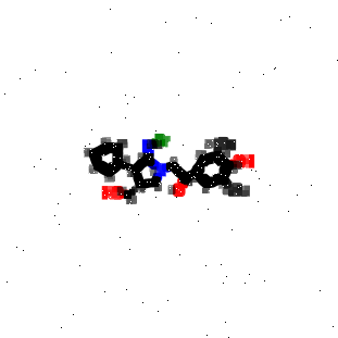 CC(C)(C)c1cc(C(=O)CN2C[C@H](CO)[C@@H](c3ccccc3)/C2=N/Br)cc(C(C)(C)C)c1O